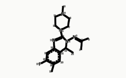 CC(C)=NN1C(N2CCN(C)CC2)=Nc2cc(F)c(C)cc2C1C